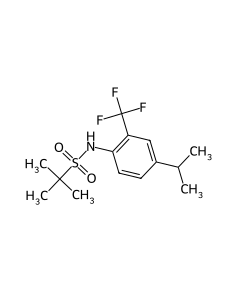 CC(C)c1ccc(NS(=O)(=O)C(C)(C)C)c(C(F)(F)F)c1